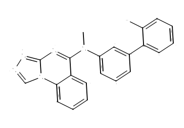 CN(c1cccc(-c2ccccc2F)c1)c1nc2nncn2c2ccccc12